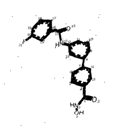 O=C(NO)c1ccc(-c2cccc(NC(=O)c3cccc(F)c3)c2)cc1